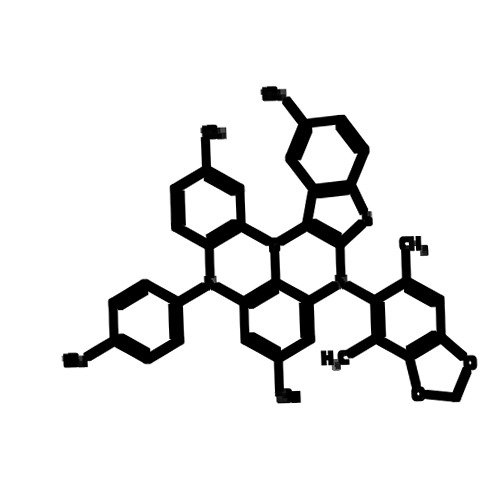 Cc1cc2c(c(C)c1N1c3cc(C(C)(C)C)cc4c3B(c3cc(C(C)(C)C)ccc3N4c3ccc(C(C)(C)C)cc3)c3c1sc1ccc(C(C)(C)C)cc31)OCO2